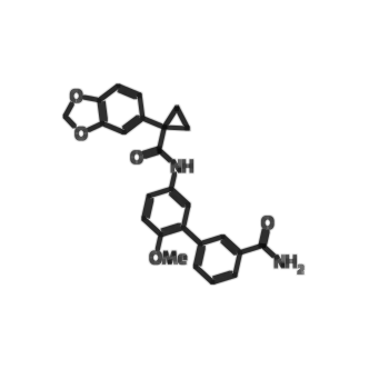 COc1ccc(NC(=O)C2(c3ccc4c(c3)OCO4)CC2)cc1-c1cccc(C(N)=O)c1